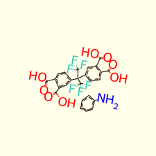 Nc1ccccc1.O=C(O)c1ccc(C(c2ccc(C(=O)O)c(C(=O)O)c2)(C(F)(F)F)C(F)(F)F)cc1C(=O)O